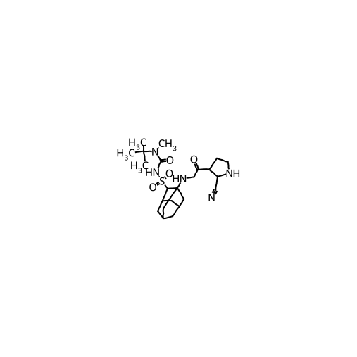 CN(C(=O)NS(=O)(=O)C1C2CC3CC(C2)CC1(NCC(=O)C1CCNC1C#N)C3)C(C)(C)C